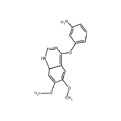 COC1=CC2=C(Oc3cccc(N)c3)N=CNC2C=C1OC